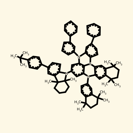 CC(C)(C)c1ccc(-c2ccc3c(c2)C2(C)CCCCC2(C)N3c2cc3c4c(c2)N(c2ccc5c(c2)C(C)(C)CCC5(C)C)c2cc5c(cc2B4c2ccc(-c4ccccc4)cc2N3c2cccc(-c3ccccc3)c2)C(C)(C)CCC5(C)C)cc1